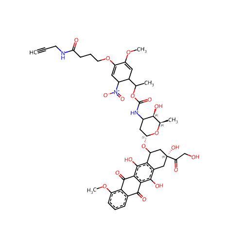 C#CCNC(=O)CCCOC1=CC([N+](=O)[O-])C(C(C)OC(=O)NC2C[C@@H](OC3C[C@@](O)(C(=O)CO)Cc4c(O)c5c(c(O)c43)C(=O)c3c(OC)cccc3C5=O)O[C@H](C)[C@@H]2O)C=C1OC